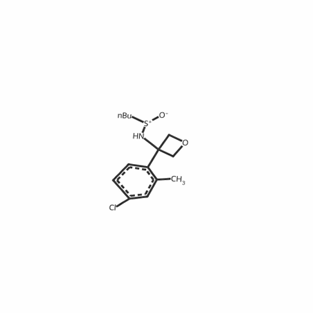 CCCC[S+]([O-])NC1(c2ccc(Cl)cc2C)COC1